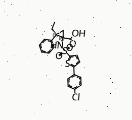 CC[C@@]1(c2ccccc2)C[C@]1(NS(=O)(=O)c1ccc(-c2ccc(Cl)cc2)s1)C(=O)O